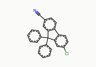 N#Cc1ccc2c(c1)C(c1ccccc1)(c1ccccc1)c1cc(Cl)ccc1-2